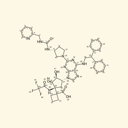 O=C(NCc1ccccn1)N[C@@H]1CCN(c2nc(NCC(c3ccccc3)c3ccccc3)c3ncn([C@@H]4C[C@](NC(=O)C(F)(F)F)(C5(C(=O)O)CCC5)[C@@H](O)[C@H]4O)c3n2)C1